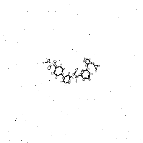 CNS(=O)(=O)c1ccc(-c2ccnc(C(=O)Nc3cccc(-c4nncn4C4CC4)n3)c2)cc1